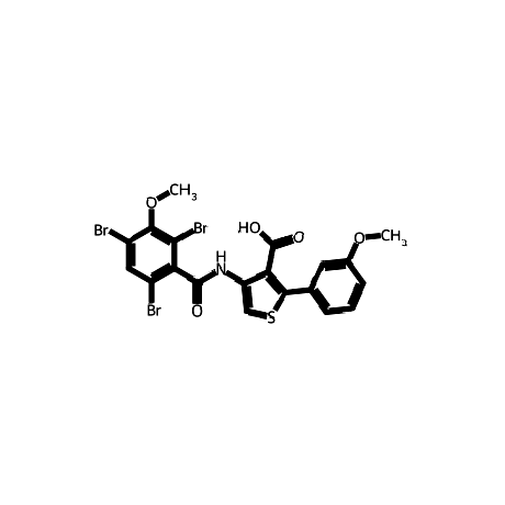 COc1cccc(-c2scc(NC(=O)c3c(Br)cc(Br)c(OC)c3Br)c2C(=O)O)c1